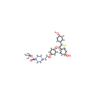 COc1ccc(-c2sc3cc(O)ccc3c2Oc2ccc(OCCN3CCN(C(=O)OC(C)(C)C)CC3)cc2)cc1